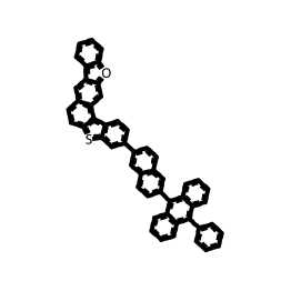 c1ccc(-c2c3ccccc3c(-c3ccc4cc(-c5ccc6c(c5)sc5ccc7cc8c(cc7c56)oc5ccccc58)ccc4c3)c3ccccc23)cc1